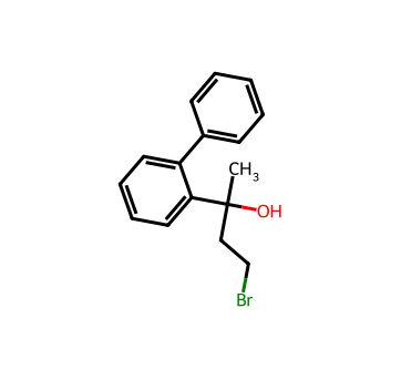 CC(O)(CCBr)c1ccccc1-c1ccccc1